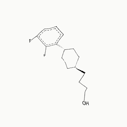 OCCC[C@H]1CC[C@H](c2cccc(F)c2F)CC1